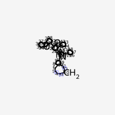 C=C1/C=C\C=C/Cc2ccc(-c3nc(-c4ccccc4)nc(-c4ccc(-c5cccc6c5oc5ccccc56)c5oc6ccccc6c45)n3)cc2/C=C\1